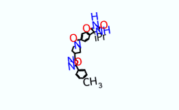 Cc1ccc(-c2nnc(C3CCN(C(=O)c4ccc(C5(C(C)C)NC(=O)NC5=O)cc4)CC3)o2)cc1